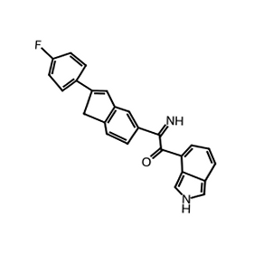 N=C(C(=O)c1cccc2c[nH]cc12)c1ccc2c(c1)C=C(c1ccc(F)cc1)C2